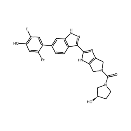 CCc1cc(O)c(F)cc1-c1ccc2c(-c3nc4c([nH]3)CN(C(=O)N3CC[C@@H](O)C3)C4)n[nH]c2c1